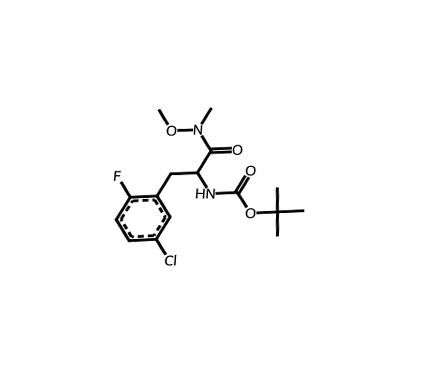 CON(C)C(=O)C(Cc1cc(Cl)ccc1F)NC(=O)OC(C)(C)C